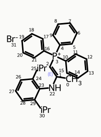 C/C(=C\[P+](c1ccccc1)(c1ccccc1)c1ccccc1)Nc1c(C(C)C)cccc1C(C)C.[Br-]